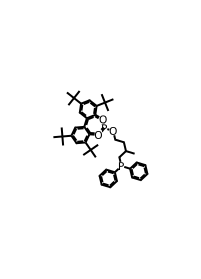 CC(CCOp1oc2c(C(C)(C)C)cc(C(C)(C)C)cc2c2cc(C(C)(C)C)cc(C(C)(C)C)c2o1)CP(c1ccccc1)c1ccccc1